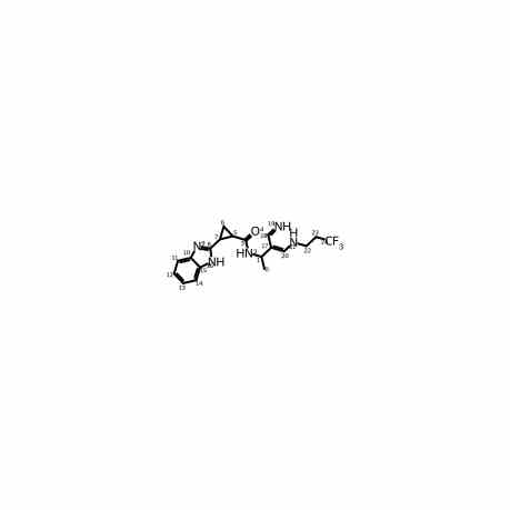 CC(NC(=O)C1CC1c1nc2ccccc2[nH]1)/C(C=N)=C/NCCC(F)(F)F